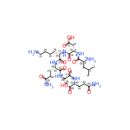 CC(C)C[C@H](N)C(=O)N[C@@H](CC(=O)O)C(=O)N[C@@H](CCCCN)C(=O)N[C@@H](CCC(N)=O)C(=O)N[C@@H](C)C(=O)N[C@@H](CCC(N)=O)C(=O)O